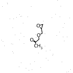 CC(=O)COCC1CO1